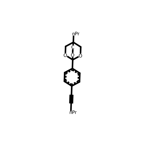 CCCC#Cc1ccc(C23OCC(CCC)(CO2)CO3)cc1